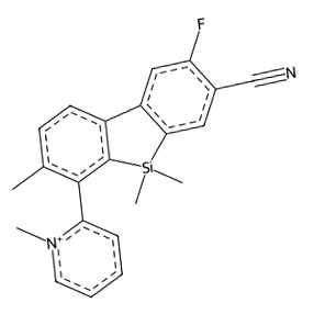 Cc1ccc2c(c1-c1cccc[n+]1C)[Si](C)(C)c1cc(C#N)c(F)cc1-2